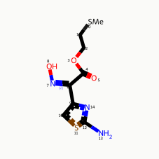 CSCCOC(=O)/C(=N\O)c1csc(N)n1